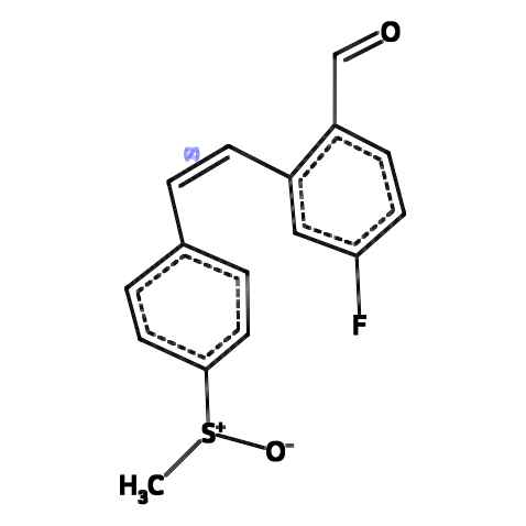 C[S+]([O-])c1ccc(/C=C\c2cc(F)ccc2C=O)cc1